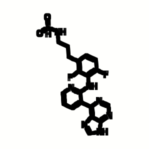 O=[SH](=O)NCCCc1ccc(F)c(Nc2ncccc2-c2ncnc3[nH]cnc23)c1F